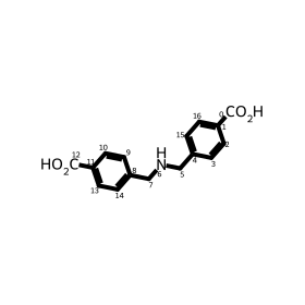 O=C(O)c1ccc(CNCc2ccc(C(=O)O)cc2)cc1